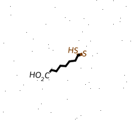 O=C(O)CCCCCCC(=S)S